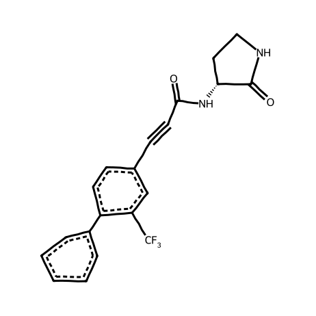 O=C(C#Cc1ccc(-c2ccccc2)c(C(F)(F)F)c1)N[C@@H]1CCNC1=O